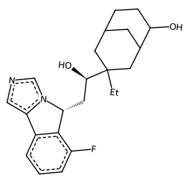 CCC1([C@H](O)C[C@@H]2c3c(F)cccc3-c3cncn32)CC2CCC(O)C(C2)C1